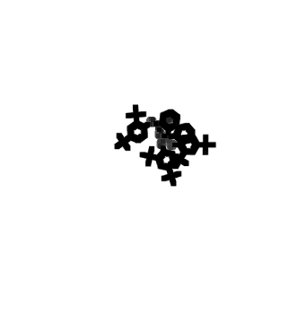 CC(C)(C)c1ccc(OP(O)OP(Oc2ccc(C(C)(C)C)cc2C(C)(C)C)(Oc2ccc(C(C)(C)C)cc2C(C)(C)C)(c2ccccc2)c2ccccc2)c(C(C)(C)C)c1